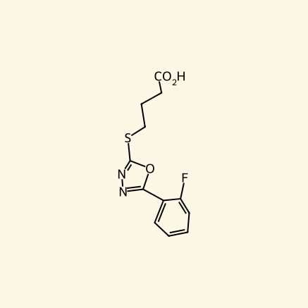 O=C(O)CCCSc1nnc(-c2ccccc2F)o1